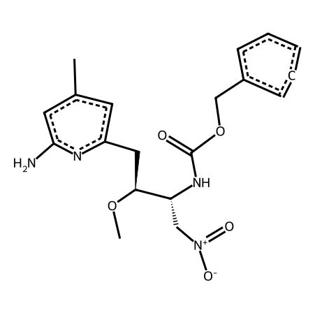 CO[C@@H](Cc1cc(C)cc(N)n1)[C@@H](C[N+](=O)[O-])NC(=O)OCc1ccccc1